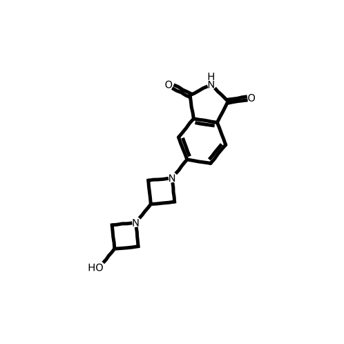 O=C1NC(=O)c2cc(N3CC(N4CC(O)C4)C3)ccc21